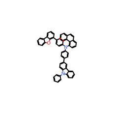 c1ccc(-n2c3ccccc3c3cc(-c4ccc(N(c5ccc(-c6cccc7c6oc6ccccc67)cc5)c5cccc6ccc7ccccc7c56)cc4)ccc32)cc1